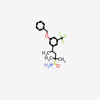 CC(CC(C)(C)[S+](N)[O-])c1cc(OCc2ccccc2)cc(C(F)(F)F)c1